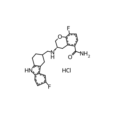 Cl.NC(=O)c1ccc(F)c2c1C[C@@H](NCC1CCc3[nH]c4ccc(F)cc4c3C1)CO2